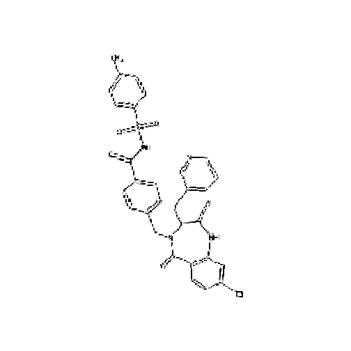 Cc1ccc(S(=O)(=O)NC(=O)c2ccc(CN3C(=O)c4ccc(Cl)cc4NC(=O)C3Cc3cccnc3)cc2)cc1